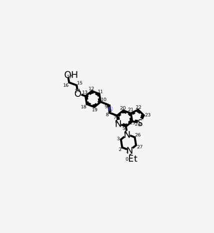 CCN1CCN(c2nc(/C=C/c3ccc(OCCO)cc3)cc3ccsc23)CC1